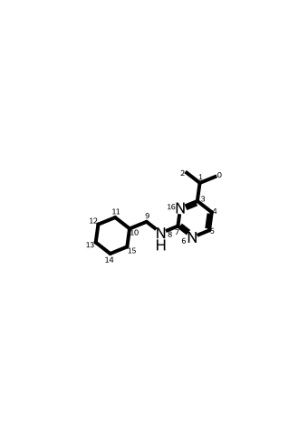 CC(C)c1ccnc(NCC2CCCCC2)n1